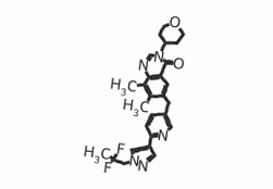 Cc1c(Cc2ccc(-c3cnn(CC(C)(F)F)c3)nc2)cc2c(=O)n(C3CCOCC3)cnc2c1C